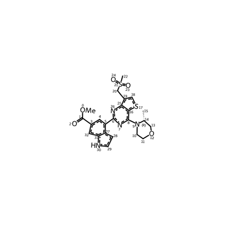 COC(=O)c1cc(-c2nc(N3CCOC[C@H]3C)c3scc(CS(C)(=O)=O)c3n2)c2cc[nH]c2c1